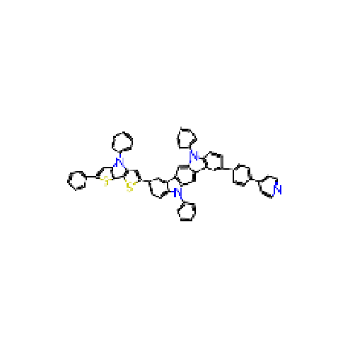 c1ccc(-c2cc3c(s2)c2sc(-c4ccc5c(c4)c4cc6c(cc4n5-c4ccccc4)c4cc(-c5ccc(-c7ccncc7)cc5)ccc4n6-c4ccccc4)cc2n3-c2ccccc2)cc1